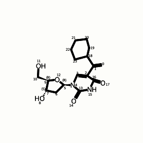 C=C(c1cn([C@H]2C[C@H](O)[C@@H](CO)O2)c(=O)[nH]c1=O)C1CCCCC1